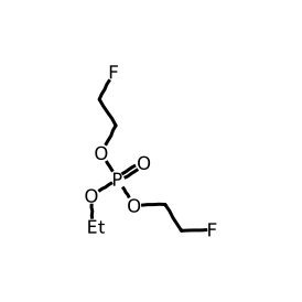 CCOP(=O)(OCCF)OCCF